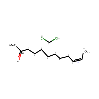 CCCCCCCC/C=C\CCCCCCCC(=O)OC.ClCCl